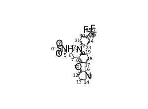 CS(=O)(=O)NCC1Cc2c(Oc3cccnc3)cccc2N(c2ccc(C(F)(F)F)cc2)C1